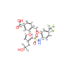 CC(C)(O)Cc1ccoc1S(=O)(=O)Nc1ccc(C(F)(F)F)cc1OCc1ccc(C(=O)O)cc1